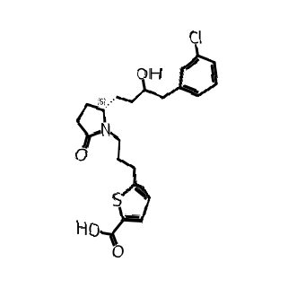 O=C(O)c1ccc(CCCN2C(=O)CC[C@@H]2CCC(O)Cc2cccc(Cl)c2)s1